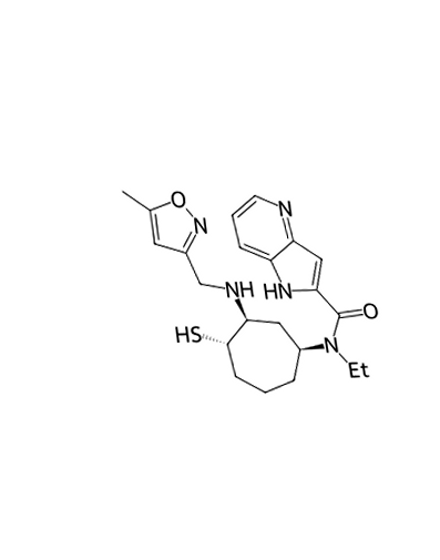 CCN(C(=O)c1cc2ncccc2[nH]1)[C@H]1CCC[C@H](S)[C@@H](NCc2cc(C)on2)C1